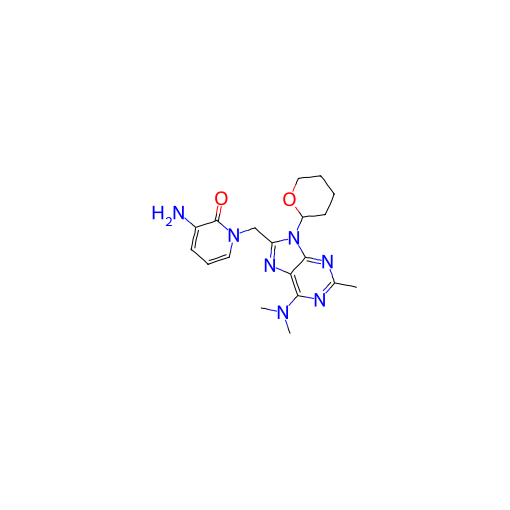 Cc1nc(N(C)C)c2nc(Cn3cccc(N)c3=O)n(C3CCCCO3)c2n1